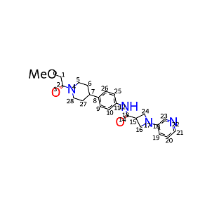 COCC(=O)N1CCC(c2ccc(NC(=O)C3CN(c4cccnc4)C3)cc2)CC1